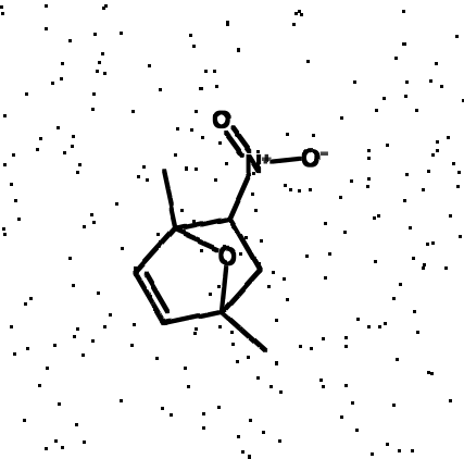 CC12C=CC(C)(O1)C([N+](=O)[O-])C2